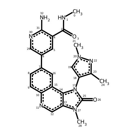 CNC(=O)c1cc(-c2ccc3ncc4c(c3c2)n(-c2cn(C)nc2C)c(=O)n4C)cnc1N